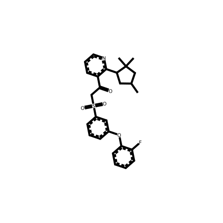 CC1CC(c2ncccc2C(=O)CS(=O)(=O)c2cccc(Oc3ccccc3F)c2)C(C)(C)C1